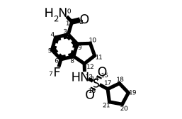 NC(=O)c1ccc(F)c2c1CCC2NS(=O)(=O)C1CCCC1